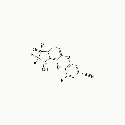 N#Cc1cc(F)cc(OC2=CCC3C(=C2Br)[C@@H](O)C(F)(F)S3(=O)=O)c1